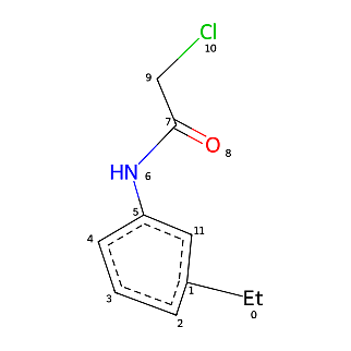 CCc1cccc(NC(=O)CCl)c1